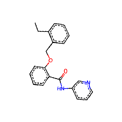 CCc1ccccc1COc1ccccc1C(=O)Nc1cccnc1